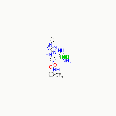 Cl.Cl.N[C@H]1CC[C@H](Nc2nc(NC3CCN(OC(=O)Nc4ccccc4C(F)(F)F)CC3)c3ncn(C4CCCC4)c3n2)CC1